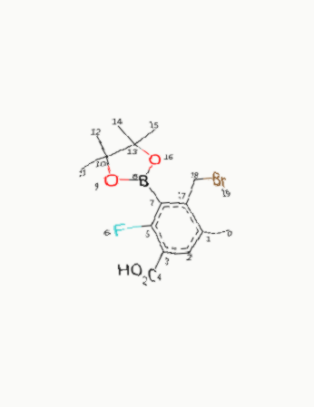 Cc1cc(C(=O)O)c(F)c(B2OC(C)(C)C(C)(C)O2)c1CBr